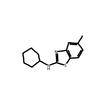 Cc1ccc2sc(NC3CCCCC3)nc2c1